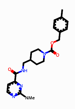 CNc1nccc(C(=O)NCC2CCN(C(=O)OCc3ccc(C)cc3)CC2)n1